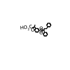 Cc1c(C(=O)O)oc2ccc(S(=O)(=O)N(CCc3ccccc3)c3ccccc3)cc12